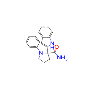 NC(=O)C1(c2cc3ccccc3[nH]2)CCCN1c1ccccc1